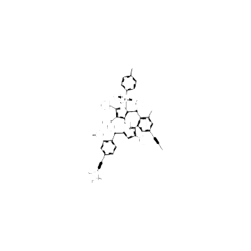 CC#Cc1ccc(C(=O)c2c(-n3c(C(=O)c4ccc(C#C[Si](C)(C)C)cc4OC)cc(Cl)c3Cl)c(Cl)c(Cl)n2S(=O)(=O)c2ccc(C)cc2)c(C)c1